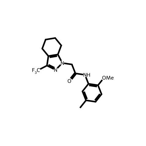 COc1ccc(C)cc1NC(=O)Cn1nc(C(F)(F)F)c2c1CCCC2